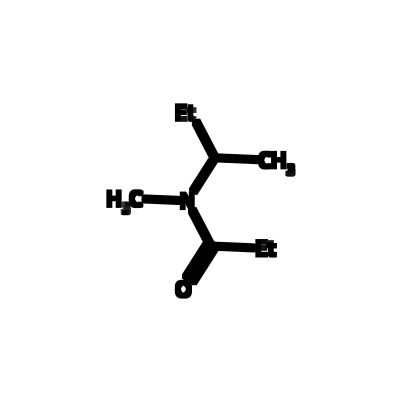 [CH2]CC(=O)N(C)C(C)CC